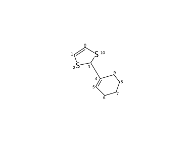 C1=CSC(C2=CCCCC2)S1